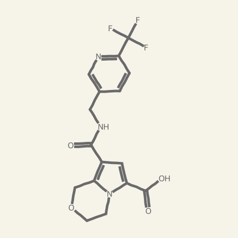 O=C(NCc1ccc(C(F)(F)F)nc1)c1cc(C(=O)O)n2c1COCC2